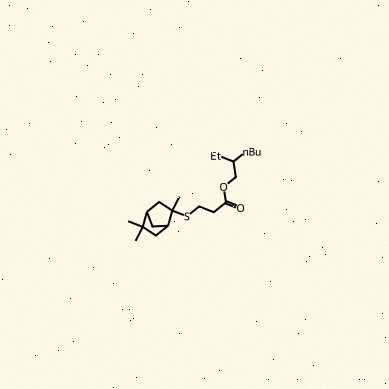 CCCCC(CC)COC(=O)CCSC1(C)CC2CC1CC2(C)C